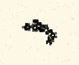 O=C(CCNc1n[n+](O)c2cc(-c3cncnc3)ccc2[n+]1O)OC1CCN(CC(F)(F)F)C1